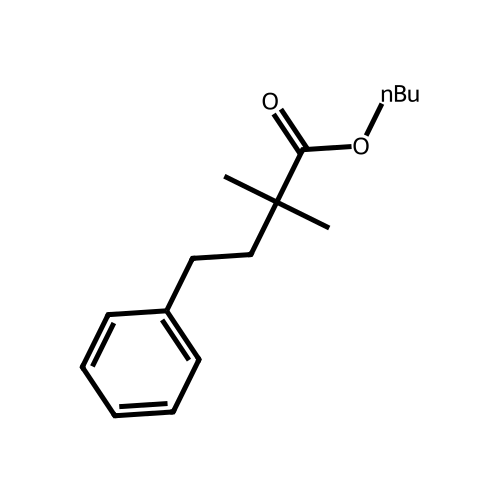 CCCCOC(=O)C(C)(C)CCc1ccccc1